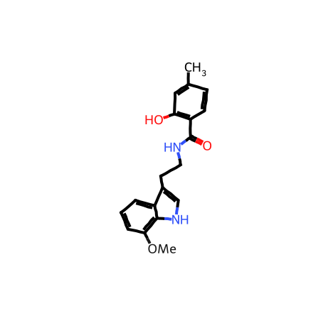 COc1cccc2c(CCNC(=O)c3ccc(C)cc3O)c[nH]c12